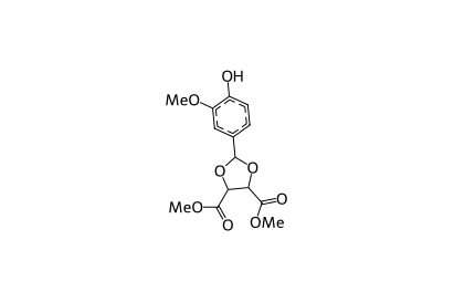 COC(=O)C1OC(c2ccc(O)c(OC)c2)OC1C(=O)OC